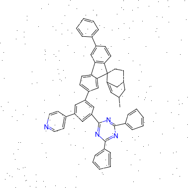 CC1C=C2CC(CCC23c2ccc(-c4ccccc4)cc2-c2ccc(-c4cc(-c5ccncc5)cc(-c5nc(-c6ccccc6)nc(-c6ccccc6)n5)c4)cc23)C1